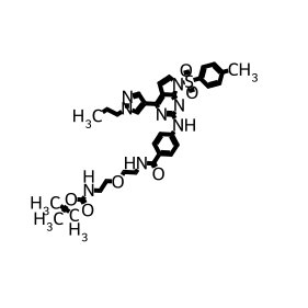 CCCn1cc(-c2nc(Nc3ccc(C(=O)NCCOCCNC(=O)OC(C)(C)C)cc3)nc3c2ccn3S(=O)(=O)c2ccc(C)cc2)cn1